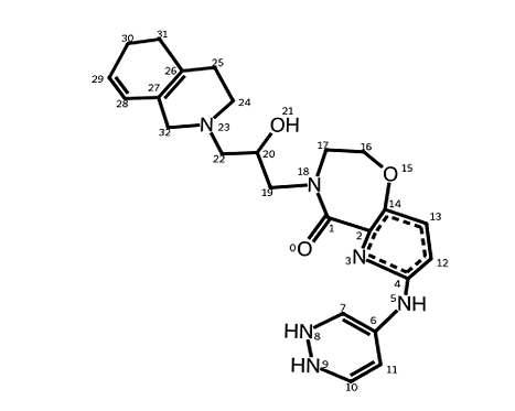 O=C1c2nc(NC3=CNNC=C3)ccc2OCCN1CC(O)CN1CCC2=C(C=CCC2)C1